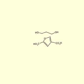 O=C(O)c1coc(C(=O)O)c1.OCCCO